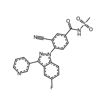 CS(=O)(=O)NC(=O)c1ccc(-n2nc(-c3cccnc3)c3cc(F)ccc32)c(C#N)c1